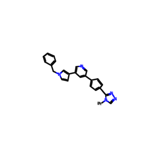 CC(C)n1cnnc1-c1ccc(-c2cncc(-c3ccn(Cc4ccccc4)c3)c2)cc1